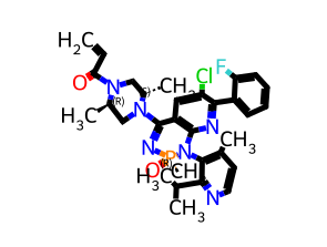 C=CC(=O)N1C[C@H](C)N(C2=N[P@](C)(=O)N(c3c(C)ccnc3C(C)C)c3nc(-c4ccccc4F)c(Cl)cc32)C[C@H]1C